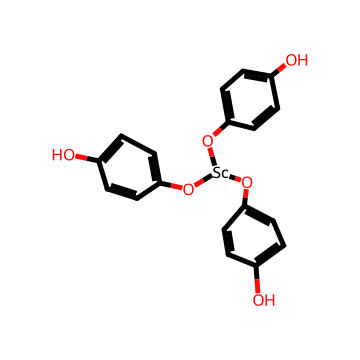 Oc1ccc([O][Sc]([O]c2ccc(O)cc2)[O]c2ccc(O)cc2)cc1